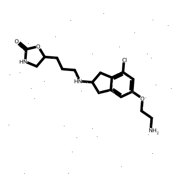 NCCOc1cc(Cl)c2c(c1)CC(NCCCC1CNC(=O)O1)C2